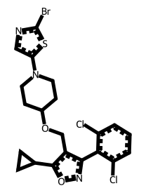 Clc1cccc(Cl)c1-c1noc(C2CC2)c1COC1CCN(c2cnc(Br)s2)CC1